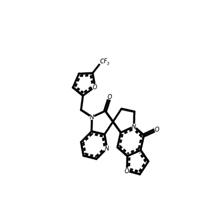 O=C1N(Cc2ccc(C(F)(F)F)o2)c2cccnc2C12CCn1c2cc2occc2c1=O